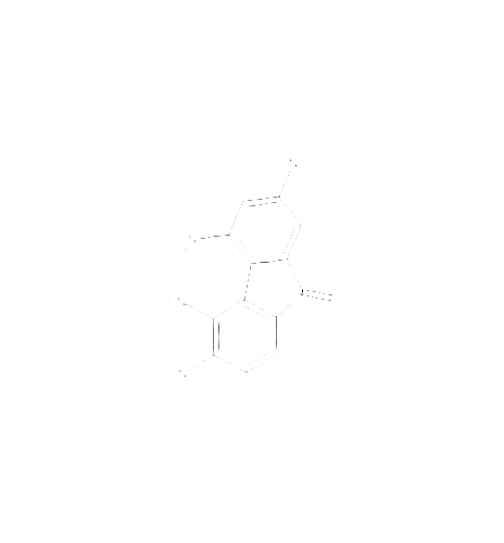 O=C1c2cc([N+](=O)[O-])cc([N+](=O)[O-])c2-c2c1ccc([N+](=O)[O-])c2[N+](=O)[O-]